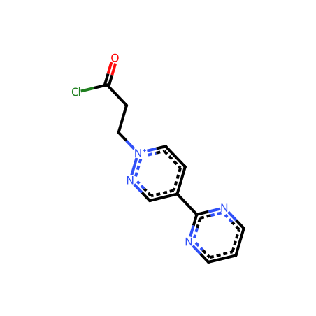 O=C(Cl)CC[n+]1ccc(-c2ncccn2)cn1